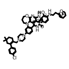 CC1(C)CCC(CN2CCN(c3ccc(C(=O)NS(=O)(=O)c4ccc(NCCN5CC6CCC5CO6)c([N+](=O)[O-])c4)c(N4CCCOc5nc6[nH]ccc6cc54)c3)CC2)=C(c2ccc(Cl)cc2)C1